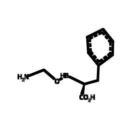 NCOB[C@@H](Cc1ccccc1)C(=O)O